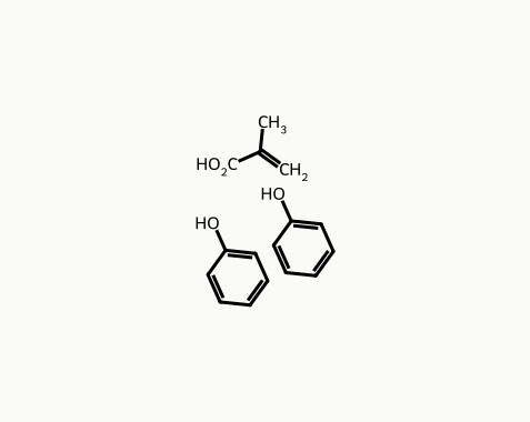 C=C(C)C(=O)O.Oc1ccccc1.Oc1ccccc1